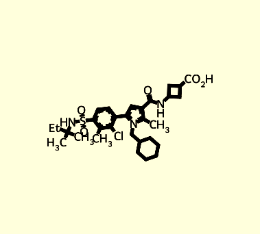 CCC(C)(C)NS(=O)(=O)c1ccc(-c2cc(C(=O)NC3CC(C(=O)O)C3)c(C)n2CC2CCCCC2)c(Cl)c1C